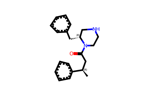 C[C@H](CC(=O)N1CCNC[C@H]1Cc1ccccc1)c1ccccc1